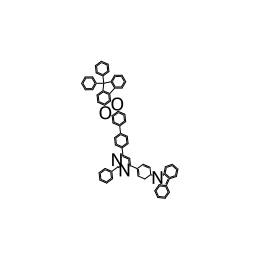 C1=CC(n2c3ccccc3c3ccccc32)CC=C1c1cc(-c2ccc(-c3ccc4c(c3)Oc3ccc5c(c3O4)-c3ccccc3C5(c3ccccc3)c3ccccc3)cc2)nc(-c2ccccc2)n1